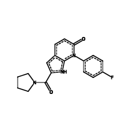 O=C(c1cc2ccc(=O)n(-c3ccc(F)cc3)c2[nH]1)N1CCCC1